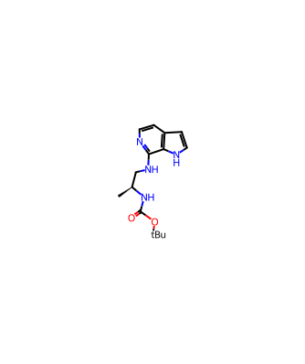 C[C@@H](CNc1nccc2cc[nH]c12)NC(=O)OC(C)(C)C